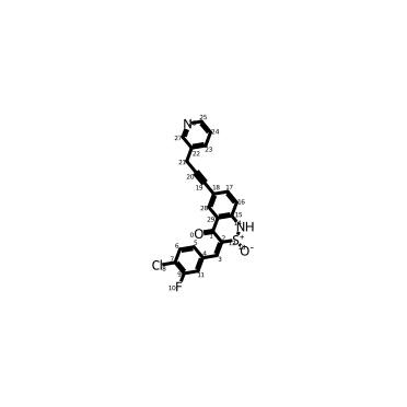 O=C1/C(=C\c2ccc(Cl)c(F)c2)[S+]([O-])Nc2ccc(C#CCc3cccnc3)cc21